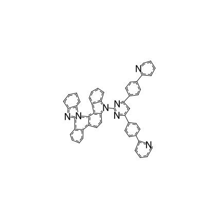 c1ccc(-c2ccc(-c3cc(-c4ccc(-c5ccccn5)cc4)nc(-n4c5ccccc5c5c4ccc4c6ccccc6c6nc7ccccc7n6c45)n3)cc2)nc1